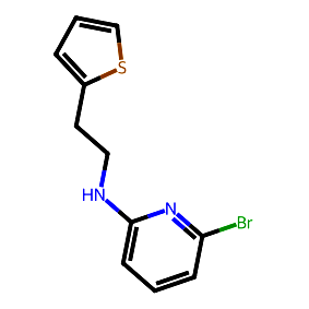 Brc1cccc(NCCc2cccs2)n1